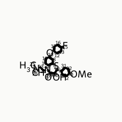 COc1ccc([C@H]2Sc3cc(Oc4ccc(F)cc4)ccc3N(CCN(C)C)C(=O)[C@H]2O)cc1